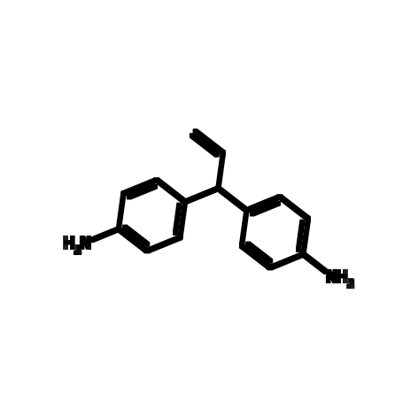 C=CC(c1ccc(N)cc1)c1ccc(N)cc1